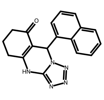 O=C1CCCC2=C1C(c1cccc3ccccc13)n1nnnc1N2